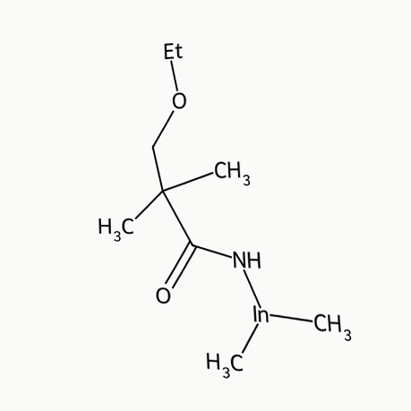 CCOCC(C)(C)C(=O)[NH][In]([CH3])[CH3]